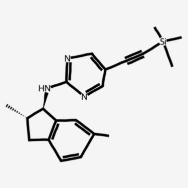 Cc1ccc2c(c1)[C@H](Nc1ncc(C#C[Si](C)(C)C)cn1)[C@@H](C)C2